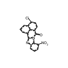 O=c1c2ccc(Cl)c3cccc(c32)c2nc3cccc([N+](=O)[O-])c3n12